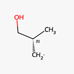 [CH2][C@@H](C)CO